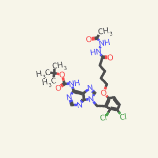 CC(=O)NNC(=O)CCCCOc1ccc(Cl)c(Cl)c1Cn1cnc2c(NC(=O)OC(C)(C)C)ncnc21